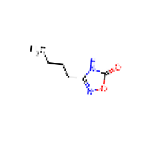 CCCCc1noc(=O)[nH]1